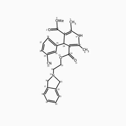 COC(=O)C1=C(C)NC(C)=C(C(=O)OCCN2Cc3ccccc3C2)C1c1cccc(C#N)c1